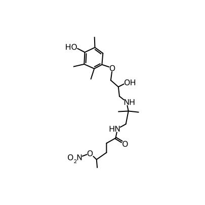 Cc1cc(OCC(O)CNC(C)(C)CNC(=O)CCC(C)O[N+](=O)[O-])c(C)c(C)c1O